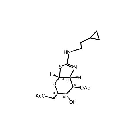 CC(=O)OC[C@H]1O[C@@H]2SC(NCCC3CC3)=N[C@@H]2[C@@H](OC(C)=O)[C@@H]1O